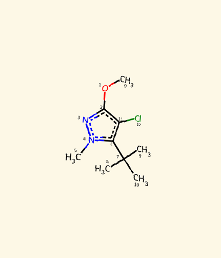 COc1nn(C)c(C(C)(C)C)c1Cl